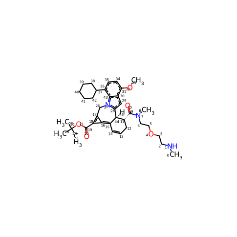 CNCCOCCN(C)C(=O)[C@@H]1CC=CC2=C3C(=C3C(=O)OC(C)(C)C)Cn3c(cc4c(OC)ccc(C5CCCCC5)c43)[C@H]21